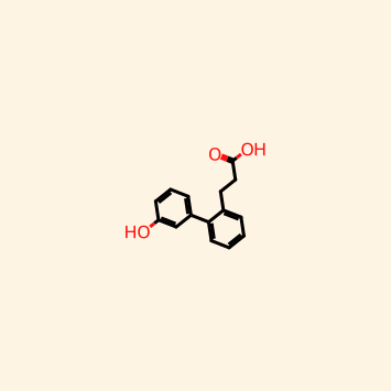 O=C(O)CCc1ccccc1-c1cccc(O)c1